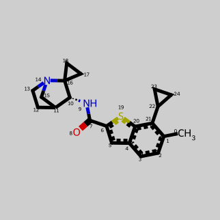 Cc1ccc2cc(C(=O)N[C@@H]3C4CCN(C4)C34CC4)sc2c1C1CC1